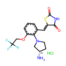 Cl.N[C@H]1CCN(c2c(C=C3SC(=O)NC3=O)cccc2OCC(F)(F)F)C1